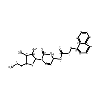 NOCC1OC(N2C=CC(NC(=O)OCc3cccc4ccccc34)NC2=O)C(N=O)C1N=O